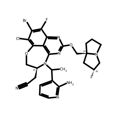 CC(c1cccnc1N)N1c2nc(OC[C@@]34CCCN3C[C@H](F)C4)nc3c(F)c(Br)c(Cl)c(c23)OC[C@@H]1CC#N